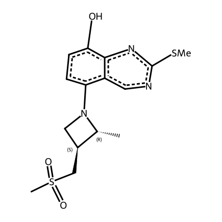 CSc1ncc2c(N3C[C@H](CS(C)(=O)=O)[C@H]3C)ccc(O)c2n1